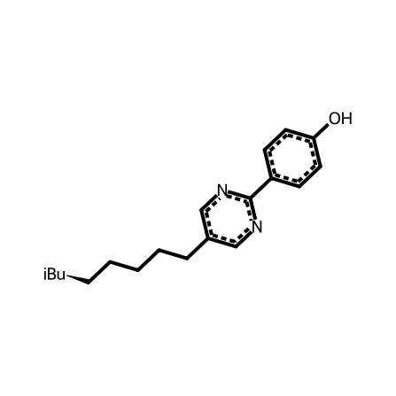 CC[C@H](C)CCCCCc1cnc(-c2ccc(O)cc2)nc1